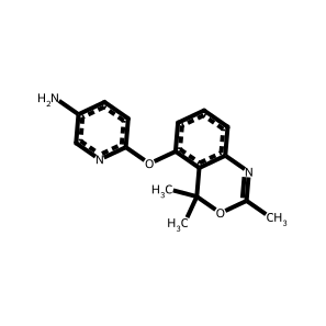 CC1=Nc2cccc(Oc3ccc(N)cn3)c2C(C)(C)O1